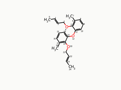 CC=CCOc1c(C)cccc1Oc1cccc(C)c1OCC=CC